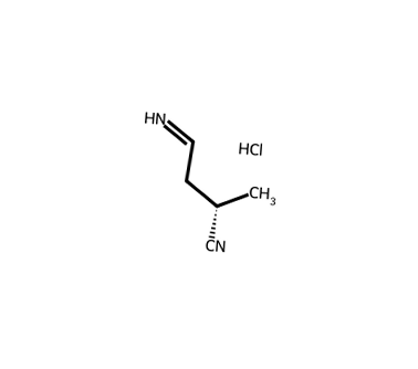 C[C@H](C#N)CC=N.Cl